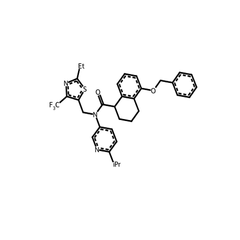 CCc1nc(C(F)(F)F)c(CN(C(=O)C2CCCc3c(OCc4ccccc4)cccc32)c2ccc(C(C)C)nc2)s1